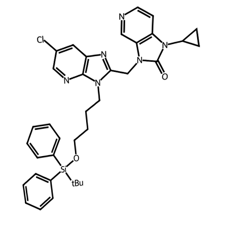 CC(C)(C)[Si](OCCCCn1c(Cn2c(=O)n(C3CC3)c3ccncc32)nc2cc(Cl)cnc21)(c1ccccc1)c1ccccc1